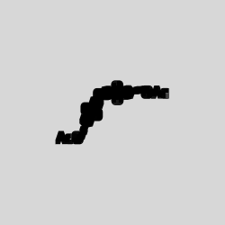 CC(=O)OCC#Cc1ccc(C(=O)C(=O)c2ccc(Oc3ccc(C(=O)C(=O)c4ccc(C#CCOC(C)=O)cc4)cc3)cc2)cc1